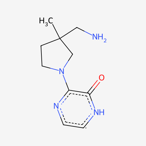 CC1(CN)CCN(c2nc[c][nH]c2=O)C1